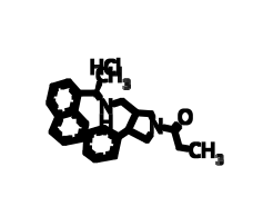 CCC(=O)N1CC(CN[C@H](C)c2cccc3ccccc23)C(c2ccccc2)C1.Cl